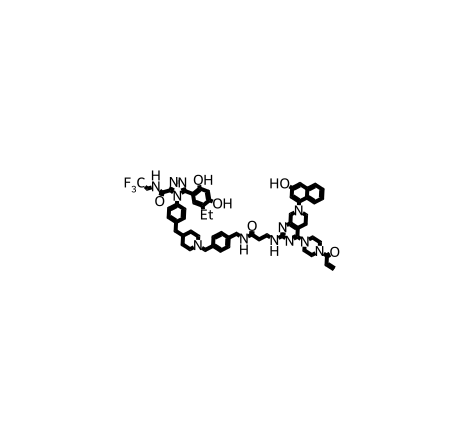 C=CC(=O)N1CCN(c2nc(NCCC(=O)NCc3ccc(CN4CCC(Cc5ccc(-n6c(C(=O)NCC(F)(F)F)nnc6-c6cc(CC)c(O)cc6O)cc5)CC4)cc3)nc3c2CCN(c2cc(O)cc4ccccc24)C3)CC1